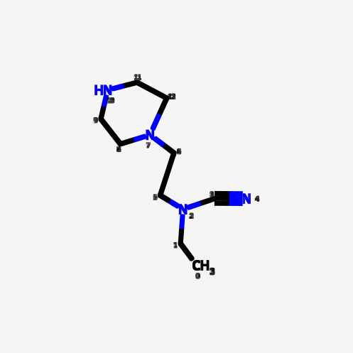 CCN(C#N)CCN1CCNCC1